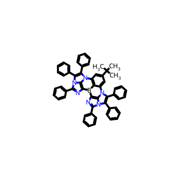 CC(C)(C)c1cc2c3c(c1)-n1c(-c4ccccc4)c(-c4ccccc4)n4c(-c5ccccc5)nc(c14)B3c1nc(-c3ccccc3)n3c(-c4ccccc4)c(-c4ccccc4)n-2c13